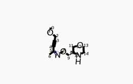 COCC#C/C(C)=N\OC[C@@H]1COCCN1